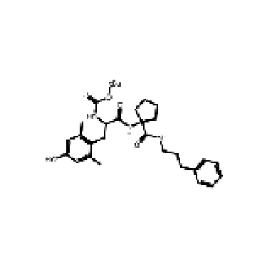 Cc1cc(O)cc(C)c1CC(NC(=O)OC(C)(C)C)C(=O)NC1(C(=O)NCCCc2ccccc2)CCCC1